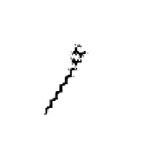 CCCCCCCCCCCCSC(=S)SC(C)C(=O)O